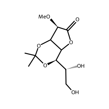 CO[C@H]1C(=O)OC2C1OC(C)(C)O[C@@H]2[C@H](O)CO